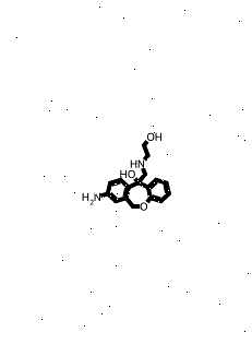 Nc1ccc2c(c1)COc1ccccc1C2(O)CNCCO